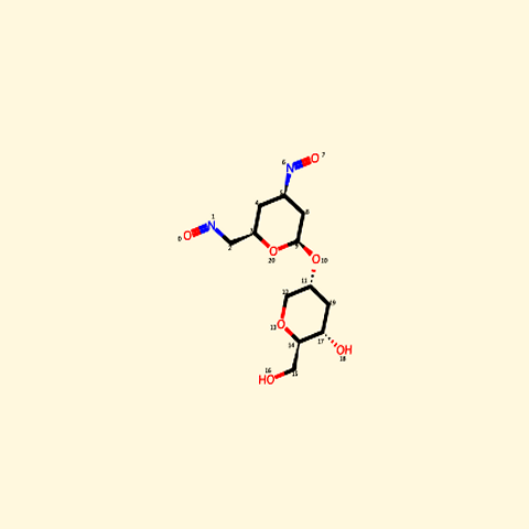 O=NC[C@H]1C[C@@H](N=O)C[C@@H](O[C@H]2CO[C@H](CO)[C@@H](O)C2)O1